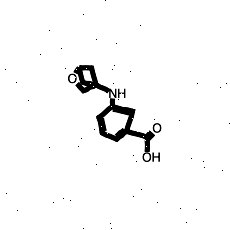 O=C(O)c1cccc(NC23COC(C2)C3)c1